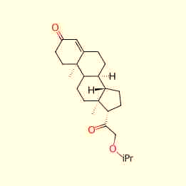 CC(C)OCC(=O)[C@H]1CC[C@H]2[C@@H]3CCC4=CC(=O)CC[C@]4(C)C3CC[C@]12C